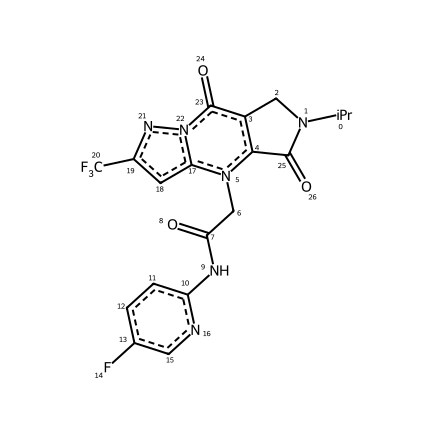 CC(C)N1Cc2c(n(CC(=O)Nc3ccc(F)cn3)c3cc(C(F)(F)F)nn3c2=O)C1=O